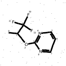 CC(Oc1ncccn1)C(F)(F)F